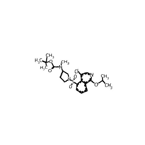 CC(C)Oc1ncc(Cl)c2c(S(=O)(=O)N3CCC(N(C)C(=O)OC(C)(C)C)C3)cccc12